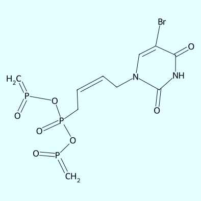 C=P(=O)OP(=O)(C/C=C\Cn1cc(Br)c(=O)[nH]c1=O)OP(=C)=O